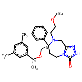 CCCCOCCN1Cc2n[nH]c(=O)n2CC[C@@]1(CO[C@H](C)c1cc(C(F)(F)F)cc(C(F)(F)F)c1)c1ccccc1